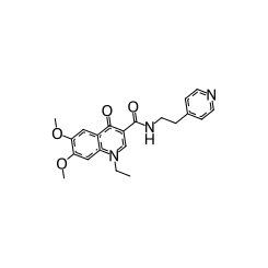 CCn1cc(C(=O)NCCc2ccncc2)c(=O)c2cc(OC)c(OC)cc21